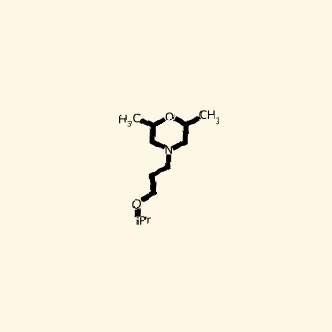 CC(C)OCCCN1CC(C)OC(C)C1